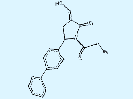 CC(C)(C)OC(=O)N1C(=O)/C(=C/O)CC1c1ccc(-c2ccccc2)cc1